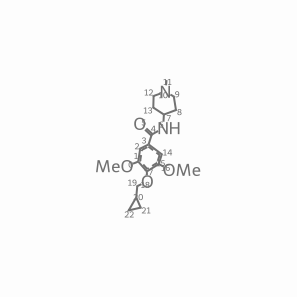 COc1cc(C(=O)NC2CCN(C)CC2)cc(OC)c1OCC1CC1